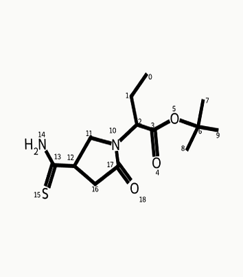 CCC(C(=O)OC(C)(C)C)N1CC(C(N)=S)CC1=O